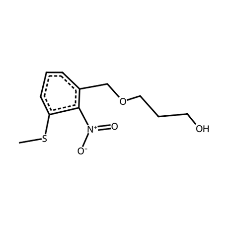 CSc1cccc(COCCCO)c1[N+](=O)[O-]